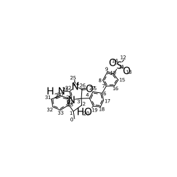 CC(CC1(c2cc(-c3ccc(S(C)(=O)=O)cc3)ccc2O)N=C(N)N(C)C1=O)c1ccccc1